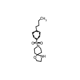 CCCCc1ccc(S(=O)(=O)N2CCC3(CC2)NCCO3)cc1